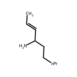 CC=CC(N)CCCCC